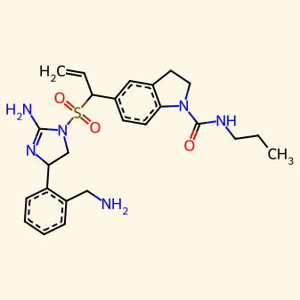 C=CC(c1ccc2c(c1)CCN2C(=O)NCCC)S(=O)(=O)N1CC(c2ccccc2CN)N=C1N